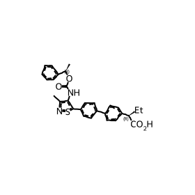 CC[C@@H](C(=O)O)c1ccc(-c2ccc(-c3snc(C)c3NC(=O)O[C@H](C)c3ccccc3)cc2)cc1